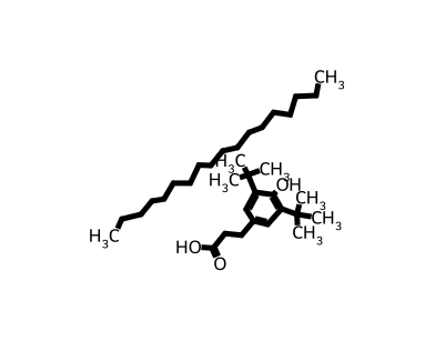 CC(C)(C)c1cc(CCC(=O)O)cc(C(C)(C)C)c1O.CCCCCCCCCCCCCCCCCC